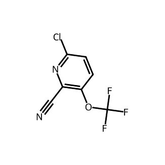 N#Cc1nc(Cl)ccc1OC(F)(F)F